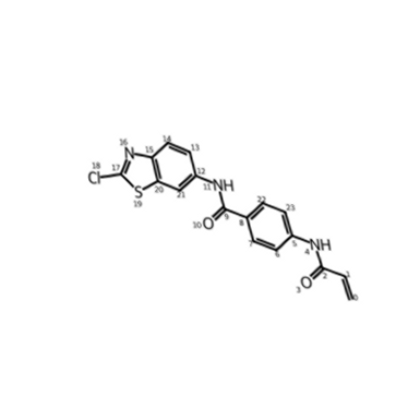 C=CC(=O)Nc1ccc(C(=O)Nc2ccc3nc(Cl)sc3c2)cc1